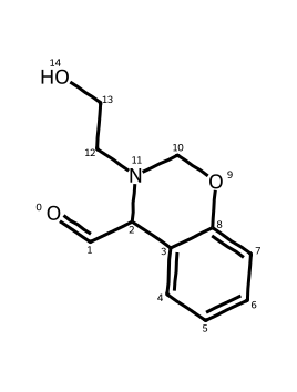 O=CC1c2ccccc2OCN1CCO